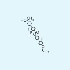 CCOc1ccc(-c2ccc(OC(=O)c3ccc(C4CCC(C(C)O)CC4)c(F)c3F)cc2)c(F)c1